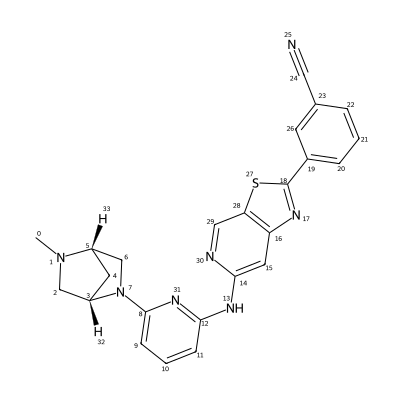 CN1C[C@@H]2C[C@H]1CN2c1cccc(Nc2cc3nc(-c4cccc(C#N)c4)sc3cn2)n1